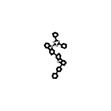 c1ccc(-c2ccc(-c3cccc4c3oc3cc(-c5ccc6c7ccccc7n(-c7nc(-c8ccccc8)nc(-c8ccccc8)n7)c6c5)ccc34)cc2)cc1